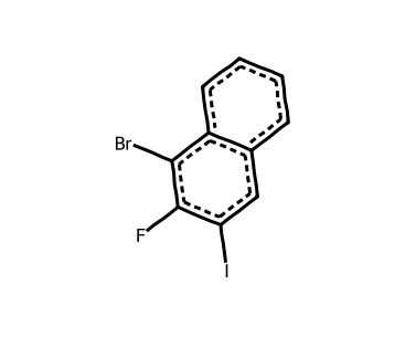 Fc1c(I)cc2ccccc2c1Br